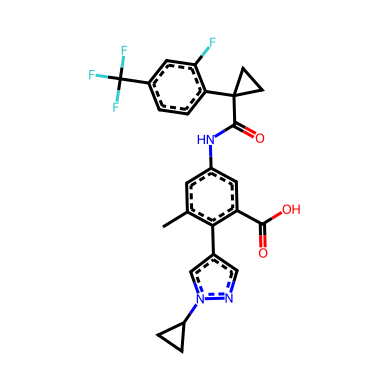 Cc1cc(NC(=O)C2(c3ccc(C(F)(F)F)cc3F)CC2)cc(C(=O)O)c1-c1cnn(C2CC2)c1